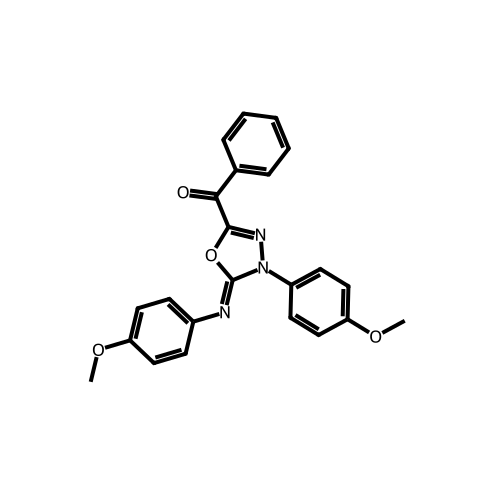 COc1ccc(N=c2oc(C(=O)c3ccccc3)nn2-c2ccc(OC)cc2)cc1